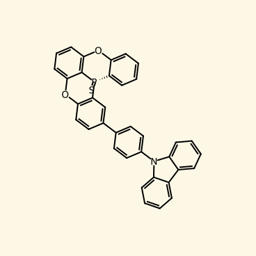 S=[P@@]12c3ccccc3Oc3cccc(c31)Oc1ccc(-c3ccc(-n4c5ccccc5c5ccccc54)cc3)cc12